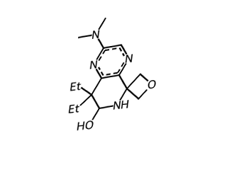 CCC1(CC)c2nc(N(C)C)cnc2C2(COC2)NC1O